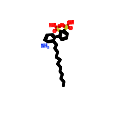 CCCCCCCCCCCCc1ccccc1-c1cccc(S(=O)(=O)O)c1S(=O)(=O)O.N